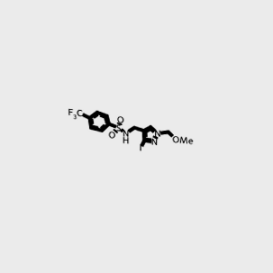 COCn1cc(CNS(=O)(=O)c2ccc(C(F)(F)F)cc2)c(I)n1